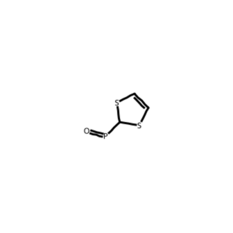 O=PC1SC=CS1